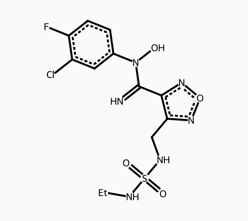 CCNS(=O)(=O)NCc1nonc1C(=N)N(O)c1ccc(F)c(Cl)c1